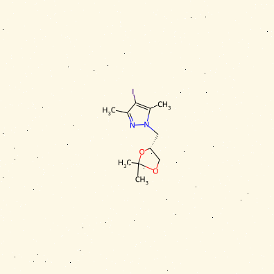 Cc1nn(C[C@@H]2COC(C)(C)O2)c(C)c1I